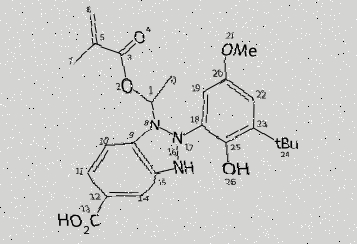 [CH2]C(OC(=O)C(=C)C)N1c2ccc(C(=O)O)cc2NN1c1cc(OC)cc(C(C)(C)C)c1O